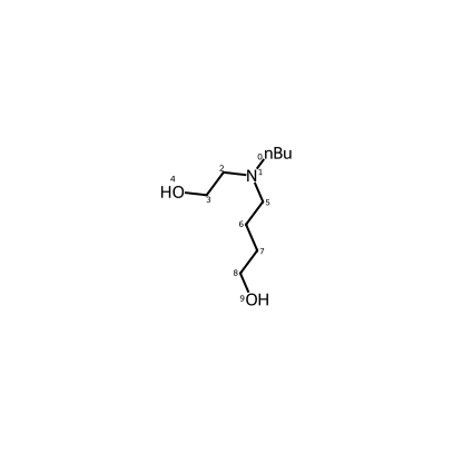 CCCCN(CCO)CCCCO